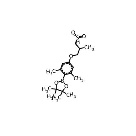 Cc1cc(OCC(C)C[SH](=O)=O)cc(C)c1B1OC(C)(C)C(C)(C)O1